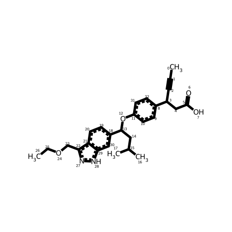 CC#CC(CC(=O)O)c1ccc(OC(CC(C)C)c2ccc3c(COCC)n[nH]c3c2)cc1